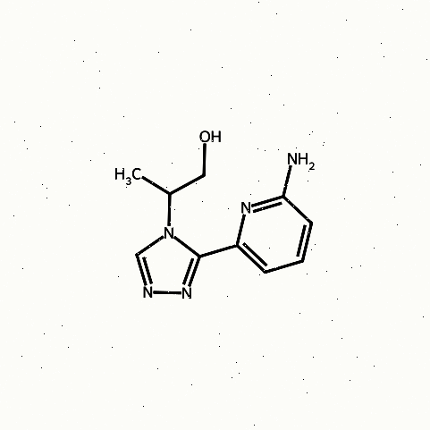 CC(CO)n1cnnc1-c1cccc(N)n1